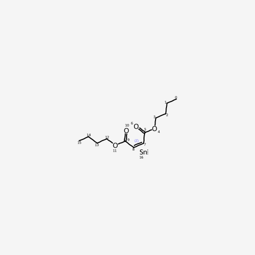 CCCCOC(=O)/C=C\C(=O)OCCCC.[Sn]